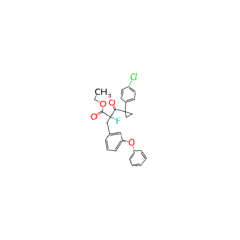 CCOC(=O)C(F)(Cc1cccc(Oc2ccccc2)c1)C(=O)C1(c2ccc(Cl)cc2)CC1